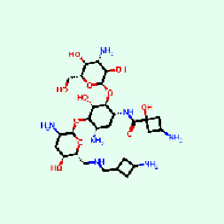 NC1CC(CNC[C@H]2O[C@H](OC3[C@@H](N)C[C@@H](NC(=O)C4(O)CC(N)C4)[C@H](O[C@H]4O[C@H](CO)[C@@H](O)[C@H](N)[C@H]4O)[C@H]3O)[C@H](N)C[C@@H]2O)C1